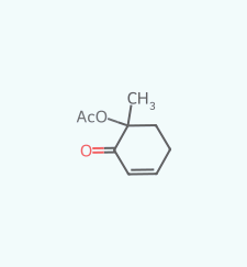 CC(=O)OC1(C)CCC=CC1=O